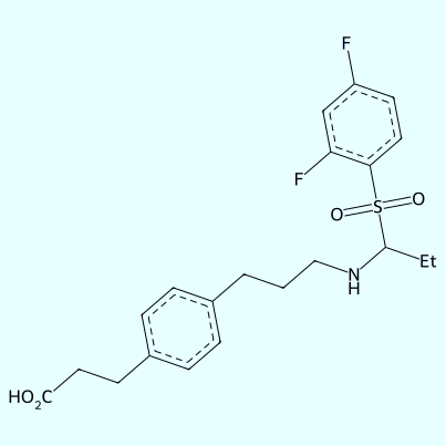 CCC(NCCCc1ccc(CCC(=O)O)cc1)S(=O)(=O)c1ccc(F)cc1F